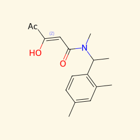 CC(=O)/C(O)=C/C(=O)N(C)C(C)c1ccc(C)cc1C